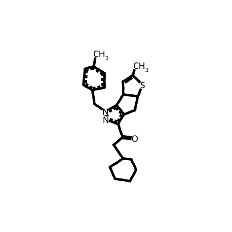 CC1=CC2c3c(c(C(=O)CC4CCCCC4)nn3Cc3ccc(C)cc3)CC2S1